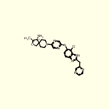 C[C@@H]1OCC2(CCN(c3cnc(Sc4ccc5nc(Cc6cnccn6)[nH]c5c4Cl)cn3)CC2)[C@@H]1N